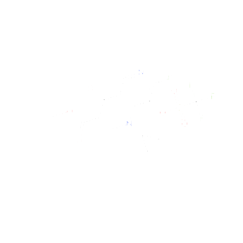 CCOC(=O)c1cn(C2CC2)c2c(OS(=O)(=O)C(F)(F)F)c(F)ncc2c1=O